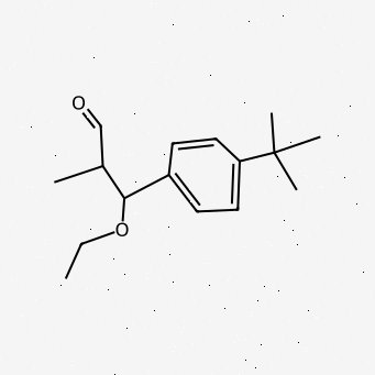 CCOC(c1ccc(C(C)(C)C)cc1)C(C)C=O